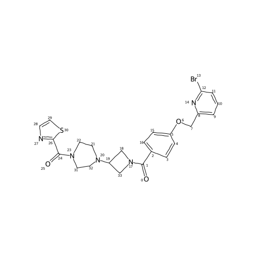 O=C(c1ccc(OCc2cccc(Br)n2)cc1)N1CC(N2CCN(C(=O)c3nccs3)CC2)C1